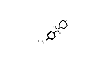 O=S(=O)(O)c1ccc(S(=O)(=O)N2CCOCC2)cc1